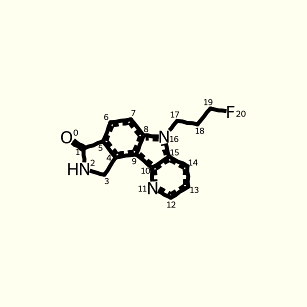 O=C1NCc2c1ccc1c2c2ncccc2n1CCCF